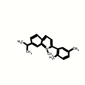 Cc1ccc(C)c(-c2ccc3ccc(C(C)C)cc3[n+]2C)c1